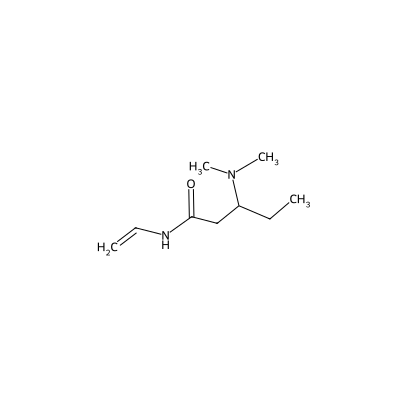 C=CNC(=O)CC(CC)N(C)C